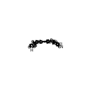 CC1(C)C(NC(=O)c2ccc(C#CC3CCN(c4ccc5c(c4)C(=O)N(C4CCC(=O)NC4=O)C5=O)CC3)cc2)C(C)(C)C1Oc1ccc(C#N)c(Cl)c1